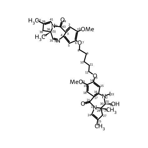 COc1cc2c(cc1OCCCCCOc1cc3c(cc1OC)C(=O)N1C=C(C)C[C@@]1(C)[C@H](O)N3I)N=C[C@]1(C)CC(C)=CN1C2=O